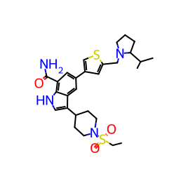 CCS(=O)(=O)N1CCC(c2c[nH]c3c(C(N)=O)cc(-c4csc(CN5CCCC5C(C)C)c4)cc23)CC1